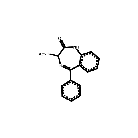 CC(=O)NC1N=C(c2ccccc2)c2ccccc2NC1=O